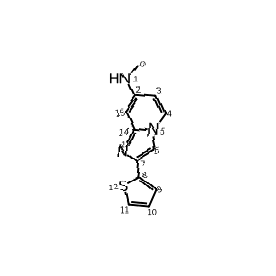 CNc1ccn2cc(-c3cccs3)nc2c1